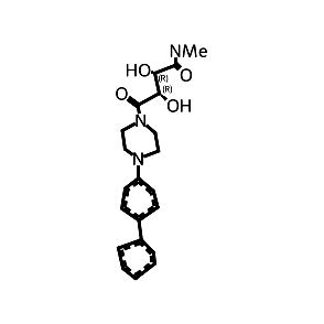 CNC(=O)[C@H](O)[C@@H](O)C(=O)N1CCN(c2ccc(-c3ccccc3)cc2)CC1